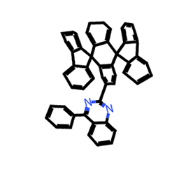 C1=C2C(=CCC1)C1(c3ccccc3-c3ccccc31)c1cc(-c3nc(-c4ccccc4)c4ccccc4n3)ccc1C21c2ccccc2-c2ccccc21